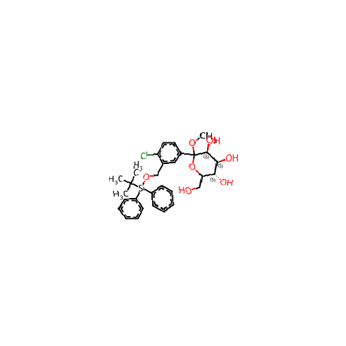 COC1(c2ccc(Cl)c(CO[Si](c3ccccc3)(c3ccccc3)C(C)(C)C)c2)OC(CO)[C@@H](O)[C@H](O)[C@@H]1O